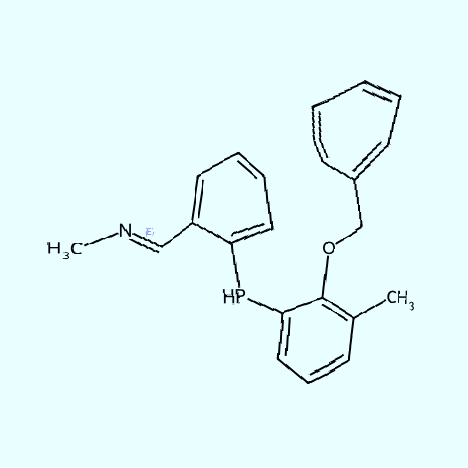 C/N=C/c1ccccc1Pc1cccc(C)c1OCc1ccccc1